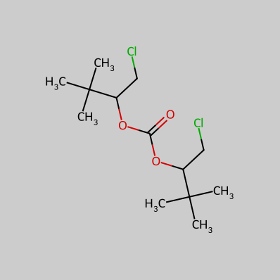 CC(C)(C)C(CCl)OC(=O)OC(CCl)C(C)(C)C